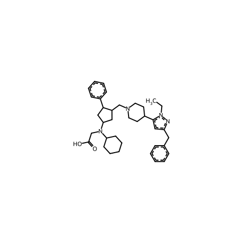 CCn1nc(Cc2ccccc2)cc1C1CCN(CC2CC(N(CC(=O)O)C3CCCCC3)CC2c2ccccc2)CC1